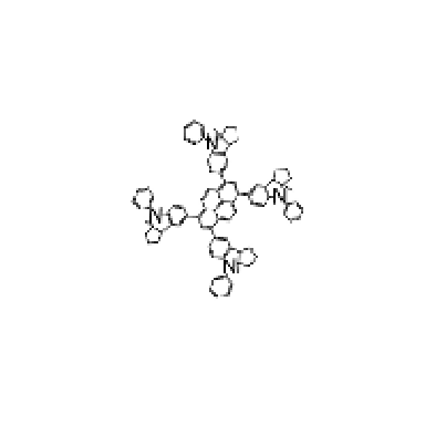 CC12CCCC1c1cc(-c3cc(-c4ccc5c(c4)C4CCCC4(C)N5c4ccccc4)c4ccc5c(-c6ccc7c(c6)C6CCCC6(C)N7c6ccccc6)cc(-c6ccc7c(c6)C6CCCC6(C)N7c6ccccc6)c6ccc3c4c65)ccc1N2c1ccccc1